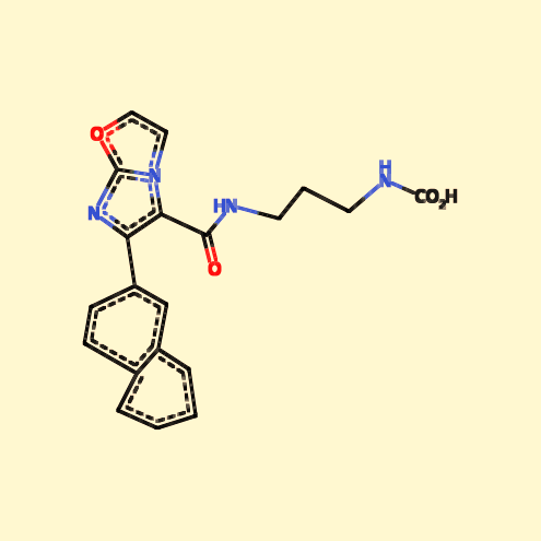 O=C(O)NCCCNC(=O)c1c(-c2ccc3ccccc3c2)nc2occn12